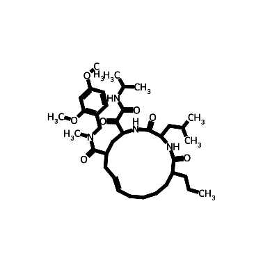 CCCC1CCCC/C=C/CC(C(=O)N(C)Cc2ccc(OC)cc2OC)CC(C(=O)C(=O)NC(C)C)NC(=O)C(CC(C)C)NC1=O